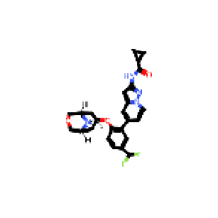 CN1[C@@H]2COC[C@H]1CC(Oc1ccc(C(F)F)cc1-c1ccn3nc(NC(=O)C4CC4)cc3c1)C2